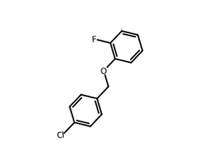 Fc1[c]cccc1OCc1ccc(Cl)cc1